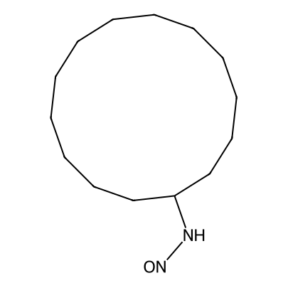 O=NNC1CCCCCCCCCCCCC1